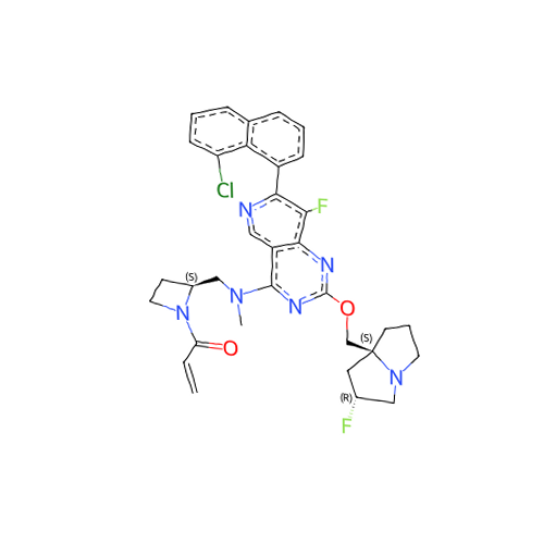 C=CC(=O)N1CC[C@H]1CN(C)c1nc(OC[C@@]23CCCN2C[C@H](F)C3)nc2c(F)c(-c3cccc4cccc(Cl)c34)ncc12